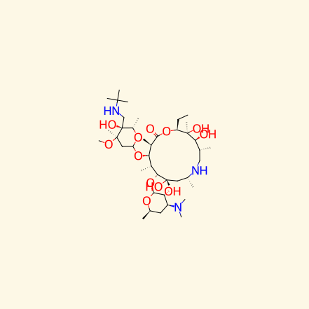 CC[C@@H]1OC(=O)[C@H](C)[C@H](OC2C[C@@](C)(OC)[C@](O)(CNC(C)(C)C)[C@H](C)O2)[C@@H](C)[C@@H](O[C@@H]2O[C@H](C)C[C@H](N(C)C)[C@H]2O)[C@@](C)(O)C[C@@H](C)NC[C@@H](C)[C@H](O)[C@]1(C)O